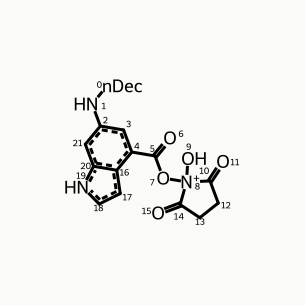 CCCCCCCCCCNc1cc(C(=O)O[N+]2(O)C(=O)CCC2=O)c2cc[nH]c2c1